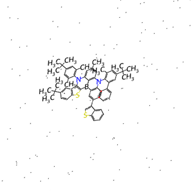 Cc1cc2c3c(c1)N(c1c(C)cc(C(C)(C)C)cc1C)c1c(sc4ccc(C(C)(C)C)cc14)B3c1cc(-c3csc4ccccc34)ccc1N2c1c(C)cc(C(C)(C)C)cc1-c1ccccc1